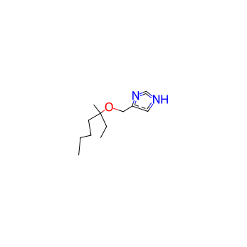 CCCCC(C)(CC)OCc1c[nH]cn1